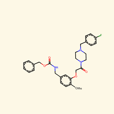 COc1ccc(CNC(=O)OCc2ccccc2)cc1OCC(=O)N1CCN(Cc2ccc(F)cc2)CC1